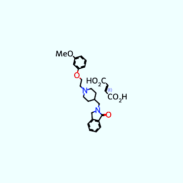 COc1cccc(OCCN2CCC(CN3Cc4ccccc4C3=O)CC2)c1.O=C(O)/C=C/C(=O)O